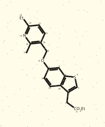 CCOC(=O)Cc1csc2cc(OCc3ccc(CC)nc3C)ccc12